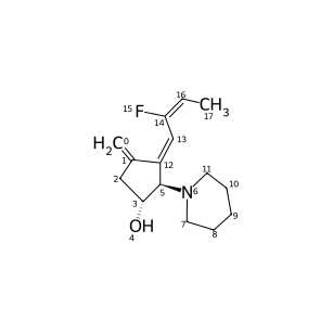 C=C1C[C@@H](O)[C@H](N2CCCCC2)/C1=C/C(F)=C\C